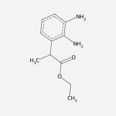 CCOC(=O)C(C)c1cccc(N)c1N